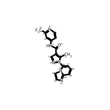 Cc1c(C(=O)Nc2ccnc(C(F)(F)F)c2)cnn1-c1cccc2nccn12